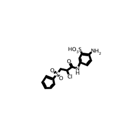 Nc1ccc(NC(=O)C(Cl)CS(=O)(=O)c2ccccc2)cc1S(=O)(=O)O